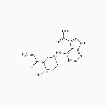 C=CC(=O)N1C[C@H](Nc2ncnc3[nH]cc(C(=O)OCC(C)C)c23)CC[C@@H]1C